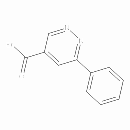 CCC(=O)c1cnnc(-c2ccccc2)c1